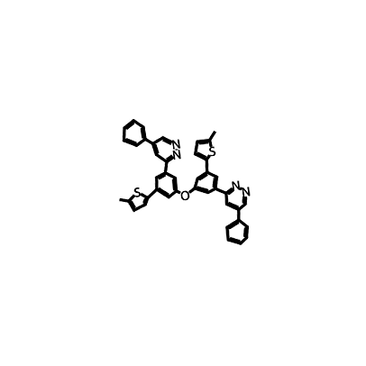 Cc1ccc(-c2cc(Oc3cc(-c4cc(-c5ccccc5)cnn4)cc(-c4ccc(C)s4)c3)cc(-c3cc(-c4ccccc4)cnn3)c2)s1